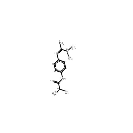 CC(=Nc1ccc(NC(=O)[C@H](C)N)cc1)N(C)C